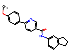 COc1ccc(-c2ccc(C(=O)Nc3ccc4c(c3)CCC4)cn2)cc1